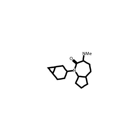 CNC1CCC2CCCC2N(C2CCC3CC3C2)C1=O